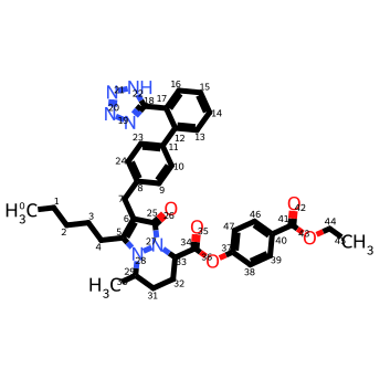 CCCCCc1c(Cc2ccc(-c3ccccc3-c3nnn[nH]3)cc2)c(=O)n2n1C(C)CCC2C(=O)Oc1ccc(C(=O)OCC)cc1